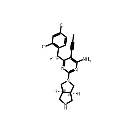 CC#Cc1c(N)nc(N2C[C@H]3CNC[C@H]3C2)nc1[C@H](C)c1ccc(Cl)cc1Cl